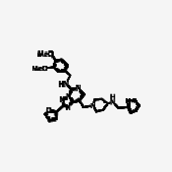 COc1ccc(CNc2ncc(CN3CCC(NCc4ccccn4)CC3)c3nc(-c4ccco4)nn23)cc1OC